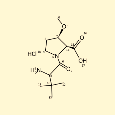 CO[C@@H]1CCN(C(=O)C(N)C(C)(C)C)[C@@H]1C(=O)O.Cl